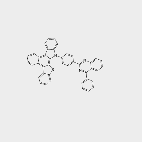 c1ccc(-c2nc(-c3ccc(-n4c5ccccc5c5c6ccccc6c6c7ccccc7sc6c54)cc3)nc3ccccc23)cc1